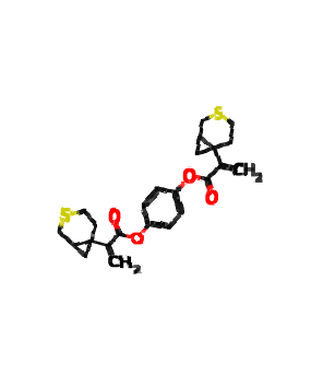 C=C(C(=O)Oc1ccc(OC(=O)C(=C)C23CCSCC2C3)cc1)C12CCSCC1C2